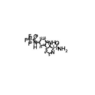 NC(=O)c1nccc2c1[nH]c1ccc(NC(=O)C(F)(F)F)cc12